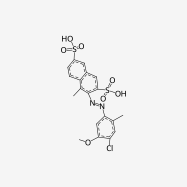 COc1cc(/N=N/c2c(S(=O)(=O)O)cc3cc(S(=O)(=O)O)ccc3c2C)c(C)cc1Cl